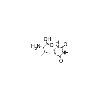 CC(C)[C@H](N)C(=O)O.O=c1cc[nH]c(=O)[nH]1